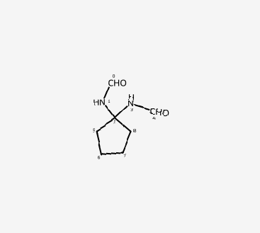 O=CNC1(NC=O)CCCC1